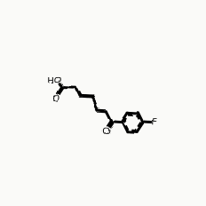 O=C(O)CCCCCC(=O)c1ccc(F)cc1